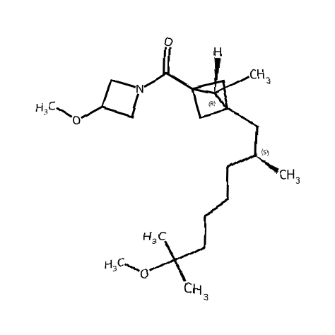 COC1CN(C(=O)C23CC(C[C@@H](C)CCCCC(C)(C)OC)(C2)[C@H]3C)C1